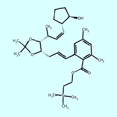 Cc1cc(C)c(C(=O)OCC[Si](C)(C)C)c(/C=C/C[C@@H]2OC(C)(C)O[C@@H]2C(C)/C=C\[C@@H]2CCC[C@H]2O)c1